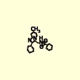 Cc1ccn2c(CNS(=O)(=O)c3ccccc3)c(-c3ccccc3)nc2c1